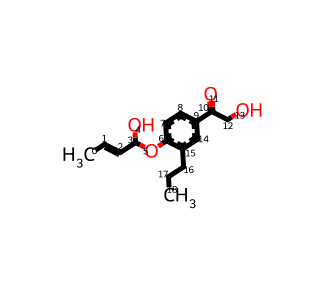 C/C=C/C(O)Oc1ccc(C(=O)CO)cc1CCC